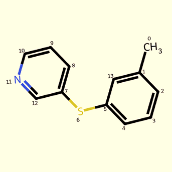 Cc1cccc(Sc2cccnc2)c1